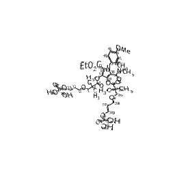 CCOC(=O)c1c(OC(=O)C(C)(C)COCCCOP(=O)(O)O)c(OC(=O)C(C)(C)COCCCOP(=O)(O)O)c(C(=O)N(C)C)n1-c1ccc(OC)cc1